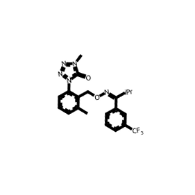 Cc1cccc(-n2nnn(C)c2=O)c1CON=C(c1cccc(C(F)(F)F)c1)C(C)C